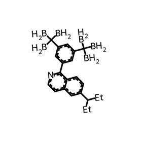 BC(B)(B)c1cc(-c2nccc3cc(C(CC)CC)ccc23)cc(C(B)(B)B)c1